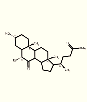 CC[C@H]1C(=O)C2C3CCC([C@H](C)CCC(=O)OC)[C@@]3(C)CCC2[C@@]2(C)CC[C@@H](O)CC12